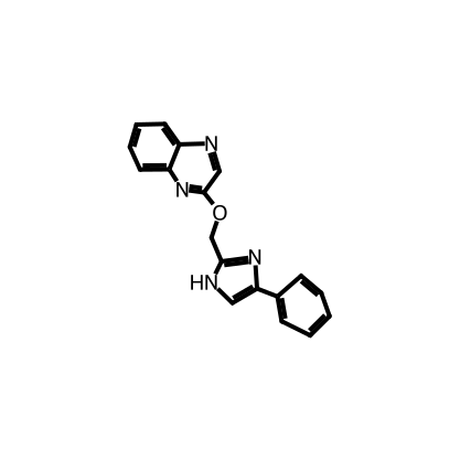 c1ccc(-c2c[nH]c(COc3cnc4ccccc4n3)n2)cc1